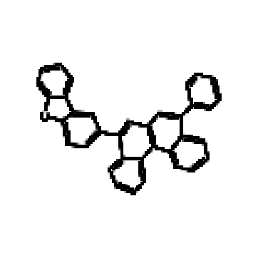 c1ccc(-c2cc3cc(-c4ccc5oc6ccccc6c5c4)c4ccccc4c3c3ccccc23)cc1